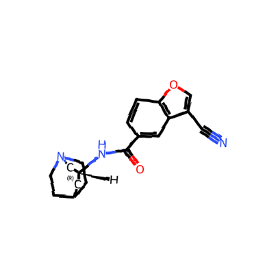 N#Cc1coc2ccc(C(=O)N[C@@H]3CC4CCN(CC4)C3)cc12